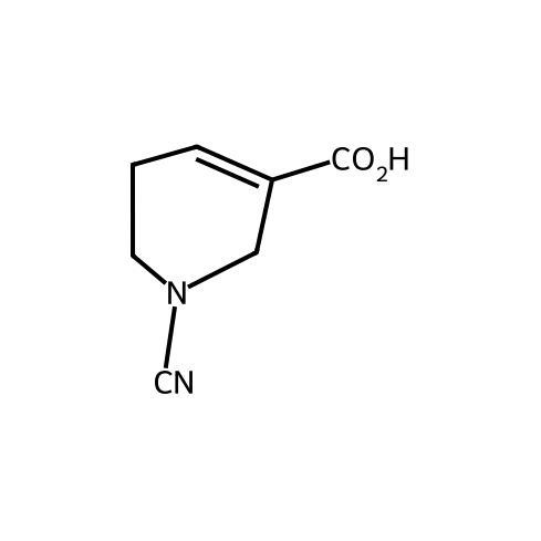 N#CN1CCC=C(C(=O)O)C1